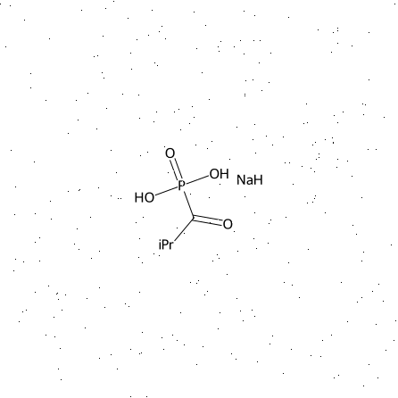 CC(C)C(=O)P(=O)(O)O.[NaH]